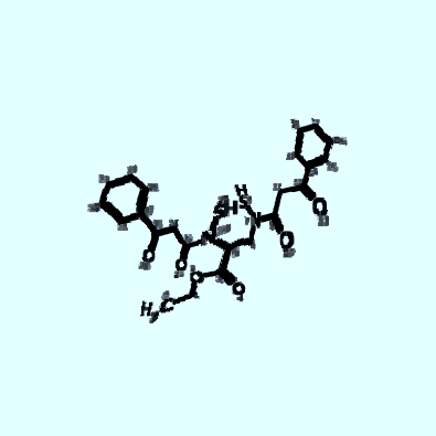 CCOC(=O)C(CN(S)C(=O)CC(=O)c1ccccc1)N(S)C(=O)CC(=O)c1ccccc1